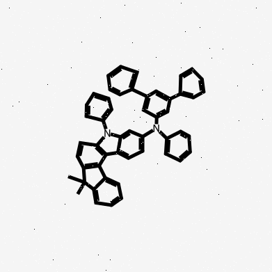 CC1(C)c2ccccc2-c2c1ccc1c2c2ccc(N(c3ccccc3)c3cc(-c4ccccc4)cc(-c4ccccc4)c3)cc2n1-c1ccccc1